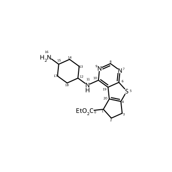 CCOC(=O)C1CCc2sc3ncnc(NC4CCC(N)CC4)c3c21